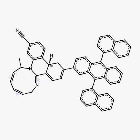 CC1/C=C\C=C/C/N=C2/C3=CC=C(c4ccc5c(-c6cccc7ccccc67)c6ccccc6c(-c6cccc7ccccc67)c5c4)C[C@H]3c3ccc(C#N)cc3N21